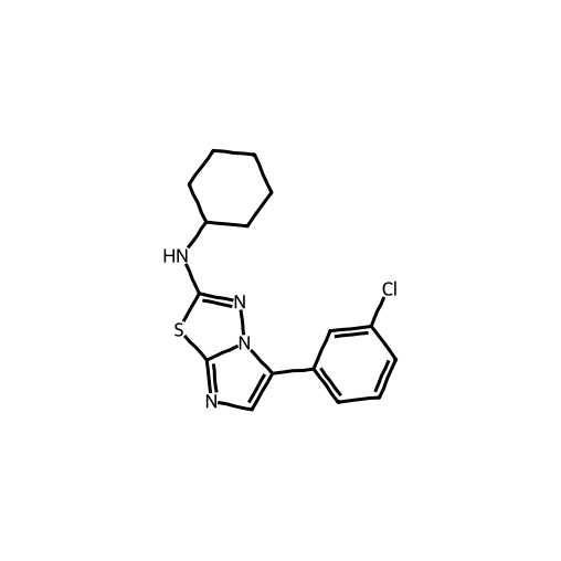 Clc1cccc(-c2cnc3sc(NC4CCCCC4)nn23)c1